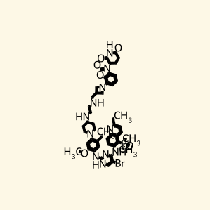 CCc1ccc2c(P(C)(C)=O)c(Nc3nc(Nc4cc(CC)c(N5CCC(NCCNCC6CN(c7cccc8c7oc(=O)n8C7CCC(=O)NC7=O)C6)CC5)cc4OC)ncc3Br)ccc2n1